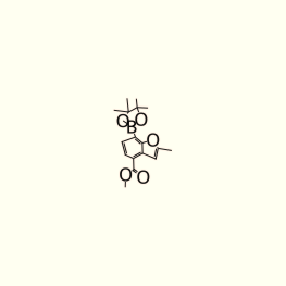 COC(=O)c1ccc(B2OC(C)(C)C(C)(C)O2)c2oc(C)cc12